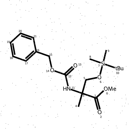 COC(=O)C(C)(CO[Si](C)(C)C(C)(C)C)NC(=O)OCc1ccccc1